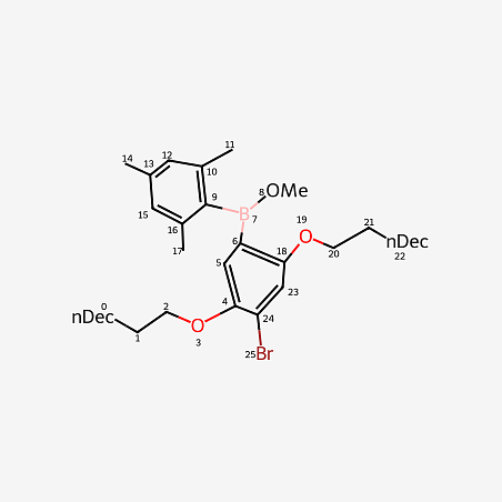 CCCCCCCCCCCCOc1cc(B(OC)c2c(C)cc(C)cc2C)c(OCCCCCCCCCCCC)cc1Br